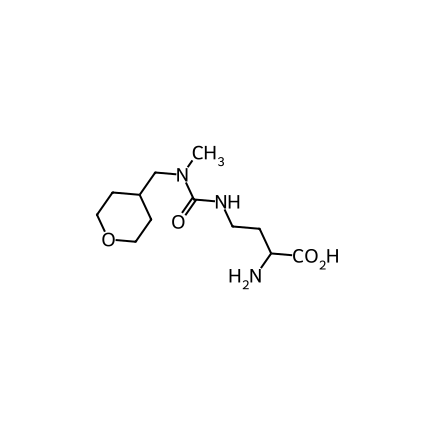 CN(CC1CCOCC1)C(=O)NCCC(N)C(=O)O